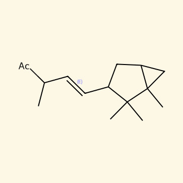 CC(=O)C(C)/C=C/C1CC2CC2(C)C1(C)C